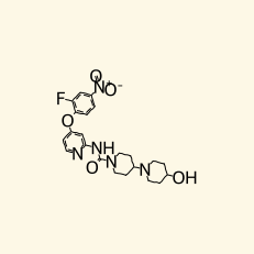 O=C(Nc1cc(Oc2ccc([N+](=O)[O-])cc2F)ccn1)N1CCC(N2CCC(O)CC2)CC1